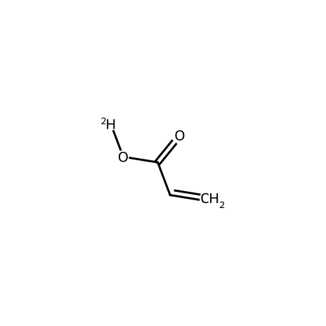 [2H]OC(=O)C=C